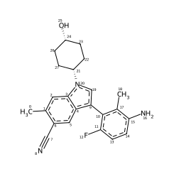 Cc1cc2c(cc1C#N)c(-c1c(F)ccc(N)c1C)cn2[C@H]1CC[C@@H](O)CC1